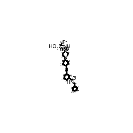 CC(C)C(NS(=O)(=O)N1CCN(c2ccc(C#Cc3cccc(C(=O)NCc4ccccc4)c3)cc2)CC1)C(=O)O